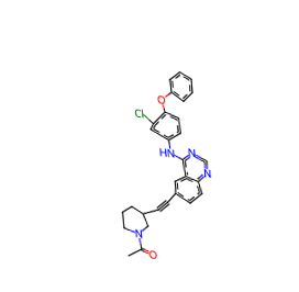 CC(=O)N1CCCC(C#Cc2ccc3ncnc(Nc4ccc(Oc5ccccc5)c(Cl)c4)c3c2)C1